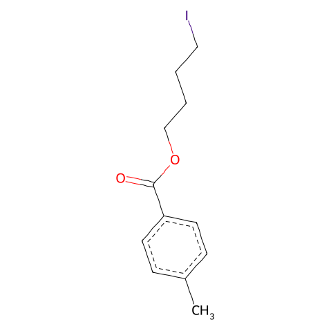 Cc1ccc(C(=O)OCCCCI)cc1